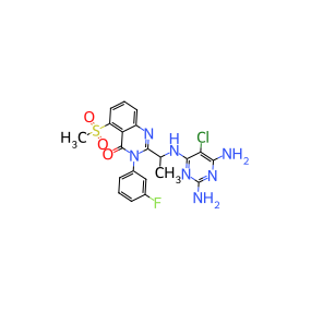 CC(Nc1nc(N)nc(N)c1Cl)c1nc2cccc(S(C)(=O)=O)c2c(=O)n1-c1cccc(F)c1